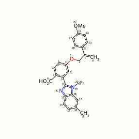 C=C(COc1ccc(C(=O)O)c(-c2nc3ccc(C)cc3n2C(C)C)c1)c1ccc(OC)cc1